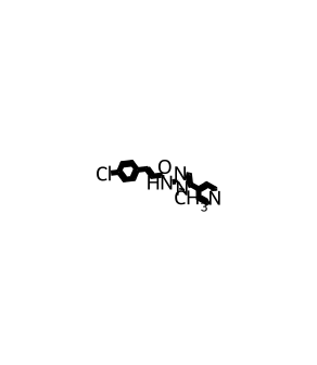 Cn1c(-c2ccncc2)cnc1NC(=O)C=Cc1ccc(Cl)cc1